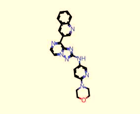 c1ccc2ncc(-c3nccn4nc(Nc5ccc(N6CCOCC6)nc5)nc34)cc2c1